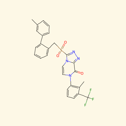 Cc1cccc(-c2ccccc2CS(=O)(=O)c2nnc3c(=O)n(-c4cccc(C(F)(F)F)c4C)ccn23)c1